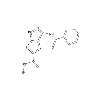 CC(C)NC(=O)c1cc2c(NC(=O)c3ccccc3)n[nH]c2s1